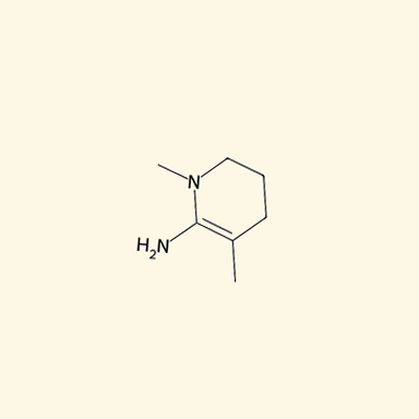 CC1=C(N)N(C)CCC1